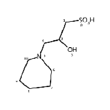 O=S(=O)(O)CC(O)CN1CCCCC1